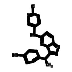 C[C@@H](c1ccc(O)cc1)c1nnc2ccc(Nc3ccc(Cl)nc3)nn12